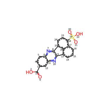 O=C(O)c1ccc2nc3c(nc2c1)-c1cccc2c(S(=O)(=O)O)ccc-3c12